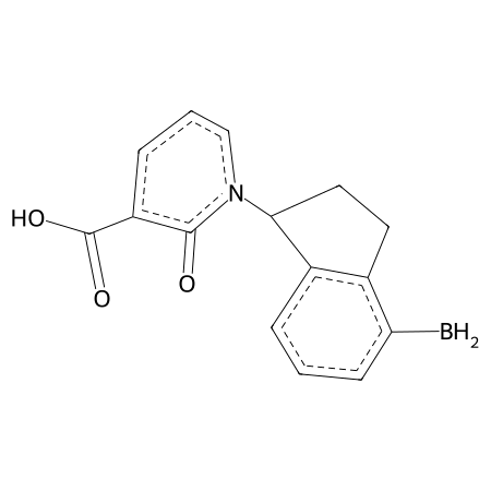 Bc1cccc2c1CCC2n1cccc(C(=O)O)c1=O